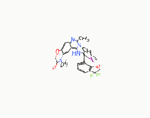 Cc1nc(NC(C)(I)c2cccc3c2OCC3(F)F)c2cc3c(cc2n1)OCC(=O)N3C